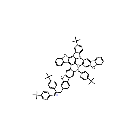 CC(C)(C)c1ccc(/C=C(/Cc2ccc3c(c2)oc2cc4c(cc23)N(c2ccc(C(C)(C)C)cc2)B2c3cc5oc6ccccc6c5cc3-n3c5ccc(C(C)(C)C)cc5c5c6oc7ccccc7c6c-4c2c53)c2ccc(C(C)(C)C)cc2)cc1